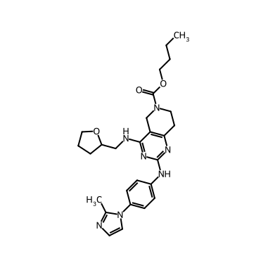 CCCCOC(=O)N1CCc2nc(Nc3ccc(-n4ccnc4C)cc3)nc(NCC3CCCO3)c2C1